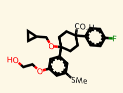 CSc1cc(OCCO)cc(C2(OCC3CC3)CCC(C(=O)O)(c3ccc(F)cc3)CC2)c1